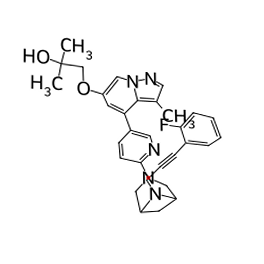 Cc1cnn2cc(OCC(C)(C)O)cc(-c3ccc(N4CC5CC(C4)N5CC#Cc4ccccc4F)nc3)c12